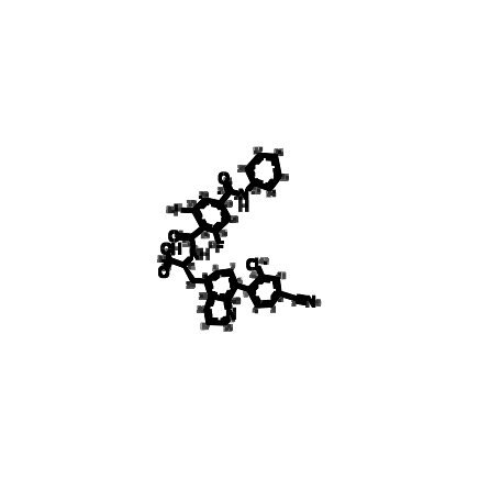 N#Cc1ccc(-c2ccc(C[C@H](NC(=O)c3c(F)cc(C(=O)Nc4ccccc4)cc3F)C(=O)O)c3cccnc23)c(Cl)c1